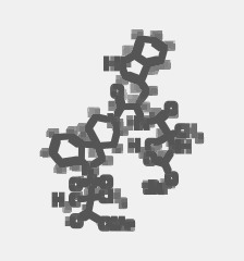 COC(=O)C(C)(C)S(=O)(=O)N1CC2(CCN(C(=O)[C@@H](Cc3c[nH]c4ccccc34)NC(=O)C(C)(C)NC(=O)OC(C)(C)C)CC2)c2ccccc21